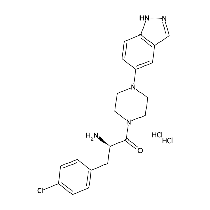 Cl.Cl.N[C@H](Cc1ccc(Cl)cc1)C(=O)N1CCN(c2ccc3[nH]ncc3c2)CC1